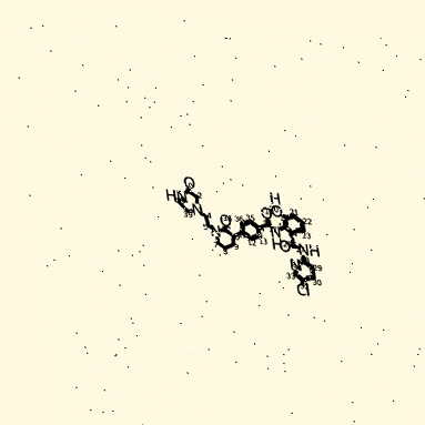 O=C1CN(CCN2CCCC(c3ccc(C(=O)Nc4c(O)cccc4C(=O)Nc4ccc(Cl)cn4)cc3)C2=O)CCN1